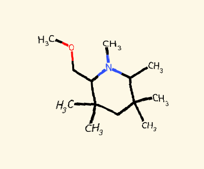 COCC1N(C)C(C)C(C)(C)CC1(C)C